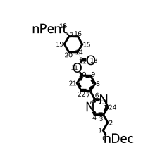 CCCCCCCCCCCCc1cnc(-c2ccc(OC(=O)[C@H]3CC[C@H](CCCCC)CC3)cc2)nc1